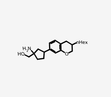 CCCCCCC1COc2cc(C3CCC(N)(CO)C3)ccc2C1